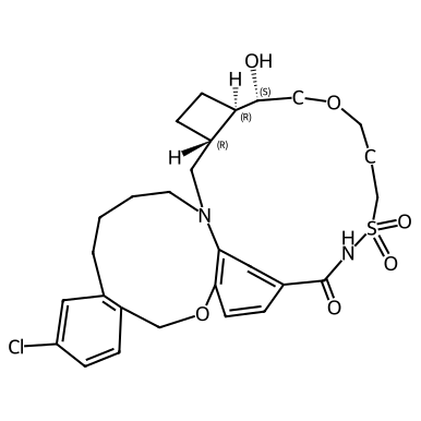 O=C1NS(=O)(=O)CCCOC[C@@H](O)[C@@H]2CC[C@H]2CN2CCCCc3cc(Cl)ccc3COc3ccc1cc32